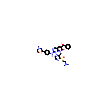 CN(C)CC[S+]([O-])c1nccnc1Cn1c(=O)c(C(=O)c2ccccc2)cc2cnc(Nc3ccc(C4CN(C)CCO4)cc3)nc21